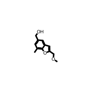 COCc1cc2cc(CO)cc(C)c2o1